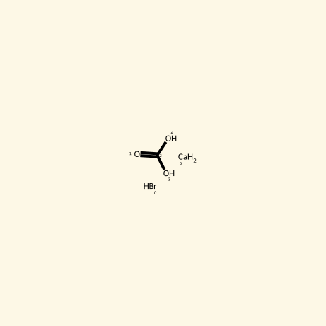 Br.O=C(O)O.[CaH2]